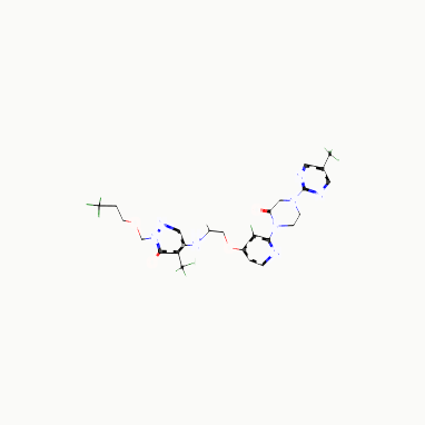 CC(COc1ccnc(N2CCN(c3ncc(C(F)(F)F)cn3)CC2=O)c1Cl)Nc1cnn(COCCC(F)(F)F)c(=O)c1C(F)(F)F